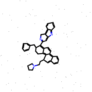 [c]1ccc2c(c1)=C1CN=C(C3=c4ccc5c(c4CCC3Cc3ccccc3)C(CCN3CCCC3)C=c3ccccc3=5)C=C1N=2